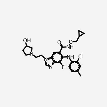 Cc1ccc(Nc2c(C(=O)NOCC3CC3)cc3c(ncn3CCN3CCC(O)C3)c2F)c(Cl)c1